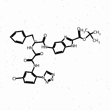 CC(C)(C)OC(=O)c1nc2cc(NC(=O)[C@H](Cc3ccccc3)NC(=O)C(=O)Nc3cc(Cl)ccc3-n3cnnn3)ccc2[nH]1